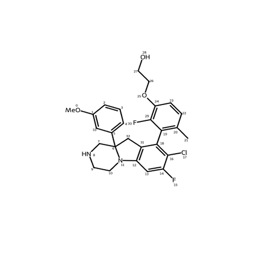 COc1cccc(C23CNCCN2c2cc(F)c(Cl)c(-c4c(C)ccc(OCCO)c4F)c2C3)c1